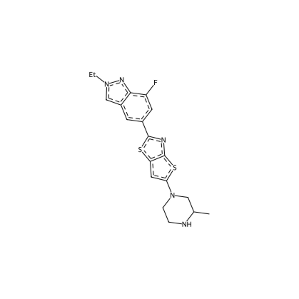 CCn1cc2cc(-c3nc4sc(N5CCNC(C)C5)cc4s3)cc(F)c2n1